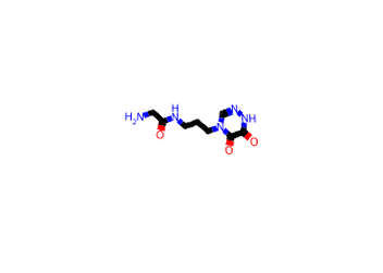 NCC(=O)NCCCn1[c]n[nH]c(=O)c1=O